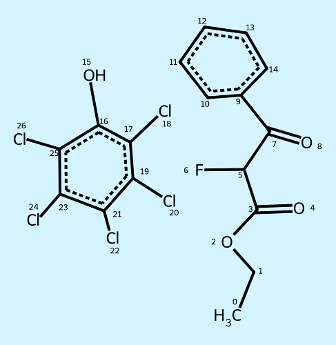 CCOC(=O)C(F)C(=O)c1ccccc1.Oc1c(Cl)c(Cl)c(Cl)c(Cl)c1Cl